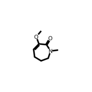 COC1=CCCCN(C)C1=O